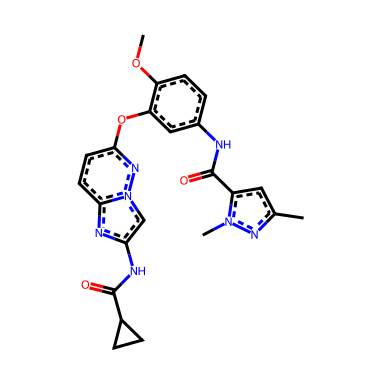 COc1ccc(NC(=O)c2cc(C)nn2C)cc1Oc1ccc2nc(NC(=O)C3CC3)cn2n1